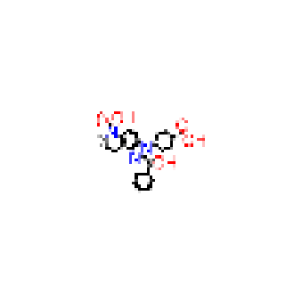 COC(O)N1c2ccc3c(nc([C@@H](O)c4ccccc4)n3[C@H]3CC[C@H](C(=O)O)CC3)c2CC[C@@H]1C